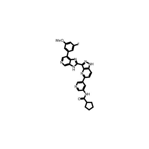 COc1cc(F)cc(-c2cncc3[nH]c(-c4n[nH]c5ccc(-c6cncc(NC(=O)C7CCCC7)c6)nc45)nc23)c1